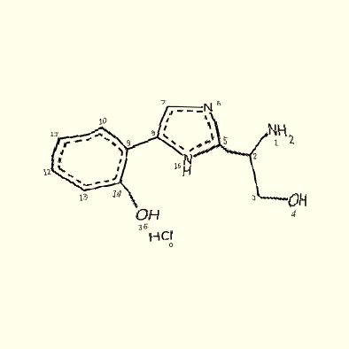 Cl.NC(CO)c1ncc(-c2ccccc2O)[nH]1